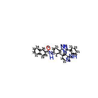 O=C(Nc1ccc(-c2nnc3n2-c2cccnc2Nc2ccccc2-3)cc1)c1ccc2ccccc2c1